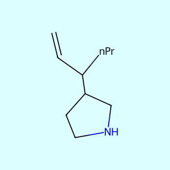 C=CC(CCC)C1CCNC1